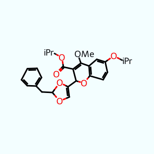 COC1=C(C(=O)OC(C)C)C(C2=COC(Cc3ccccc3)O2)Oc2ccc(OC(C)C)cc21